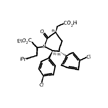 CCOC(=O)C(CC(C)C)N1C(=O)[C@@H](CC(=O)O)C[C@H](c2cccc(Cl)c2)[C@H]1c1ccc(Cl)cc1